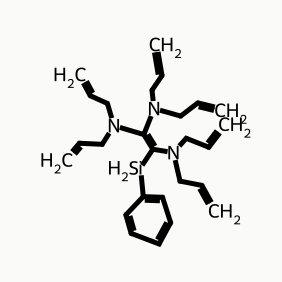 C=CCN(CC=C)C([SiH2]c1ccccc1)=C(N(CC=C)CC=C)N(CC=C)CC=C